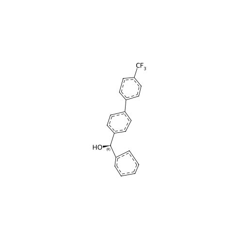 O[C@H](c1ccccc1)c1ccc(-c2ccc(C(F)(F)F)cc2)cc1